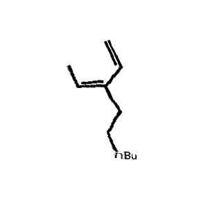 C=CC(=CC)CCCCCC